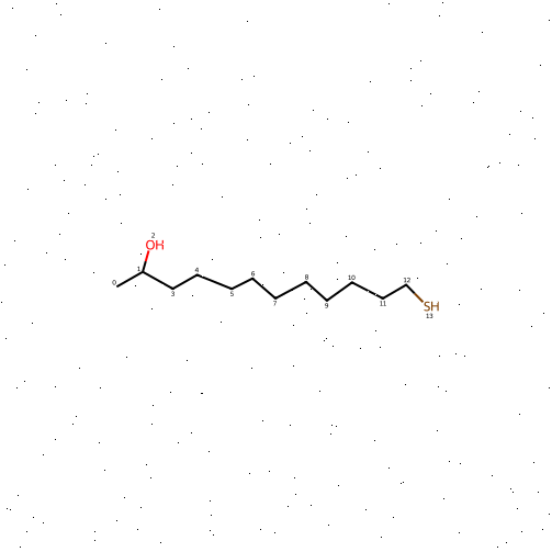 CC(O)CCCCCCCCCCS